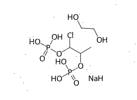 CC(OP(=O)(O)O)C(Cl)OP(=O)(O)O.OCCO.[NaH]